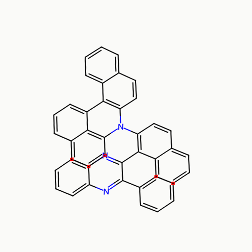 c1ccc(-c2nc3ccccc3nc2-c2c(N3c4ccc5ccccc5c4-c4cccc5cccc3c45)ccc3ccccc23)cc1